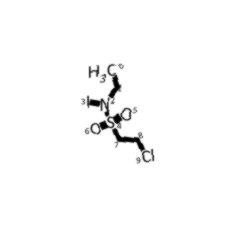 CCN(I)S(=O)(=O)CCCl